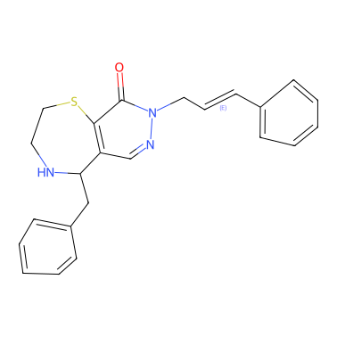 O=c1c2c(cnn1C/C=C/c1ccccc1)C(Cc1ccccc1)NCCS2